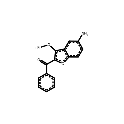 CCCOc1c(C(=O)c2ccccc2)oc2ccc(N)cc12